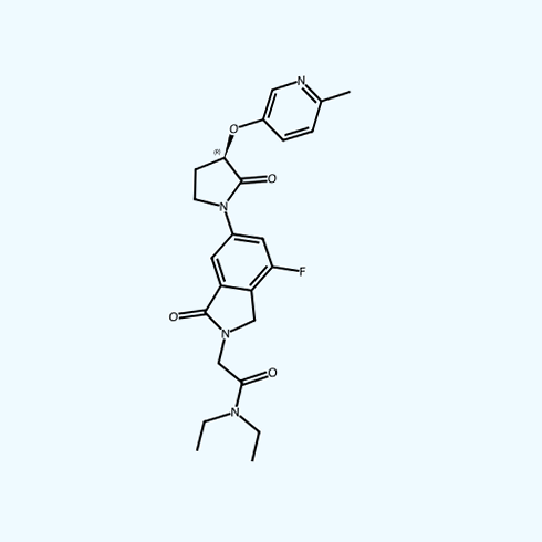 CCN(CC)C(=O)CN1Cc2c(F)cc(N3CC[C@@H](Oc4ccc(C)nc4)C3=O)cc2C1=O